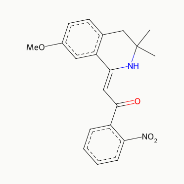 COc1ccc2c(c1)/C(=C/C(=O)c1ccccc1[N+](=O)[O-])NC(C)(C)C2